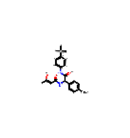 COc1ccc(C(NC(=O)C=C(C)O)C(=O)Nc2ccc([Si](C)(C)C)cc2)cc1